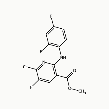 COC(=O)c1cc(F)c(Cl)nc1Nc1ccc(F)cc1F